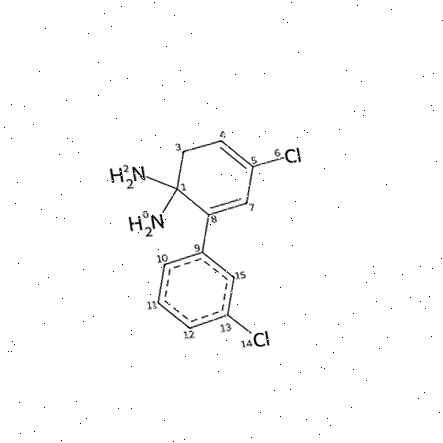 NC1(N)CC=C(Cl)C=C1c1cccc(Cl)c1